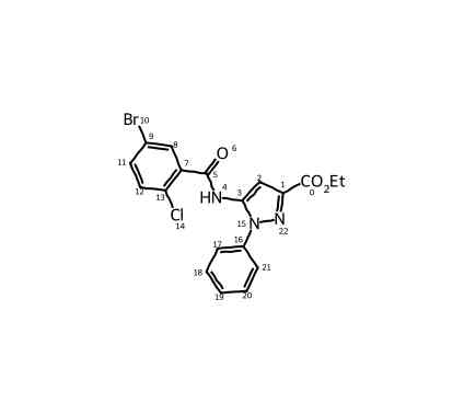 CCOC(=O)c1cc(NC(=O)c2cc(Br)ccc2Cl)n(-c2ccccc2)n1